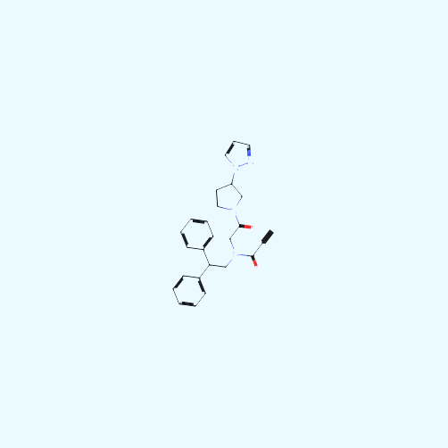 C#CC(=O)N(CC(=O)N1CCC(n2cccn2)C1)CC(c1ccccc1)c1ccccc1